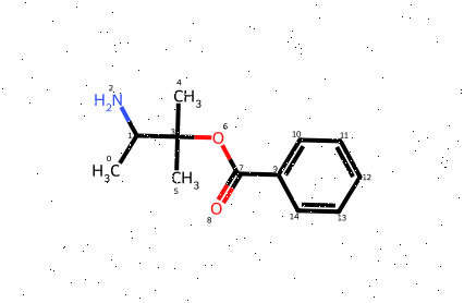 CC(N)C(C)(C)OC(=O)c1ccccc1